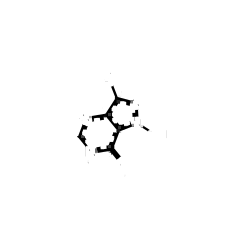 Cn1nc(Br)c2nc[nH]c(=O)c21